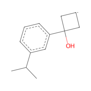 CC(C)c1cccc(C2(O)C[CH]C2)c1